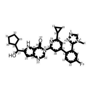 Cn1cnnc1-c1cc(F)ccc1-c1cc(C2CC2)nc(-n2cnc3cc(C(O)C4CCCC4)[nH]c3c2=O)c1